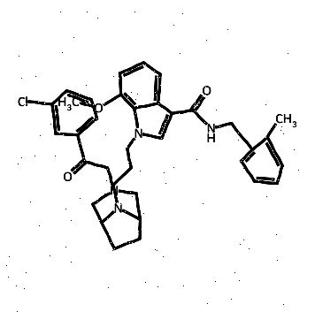 COc1cccc2c(C(=O)NCc3ccccc3C)cn(CCCN3C4CCC3CN(CC(=O)c3cccc(Cl)c3)C4)c12